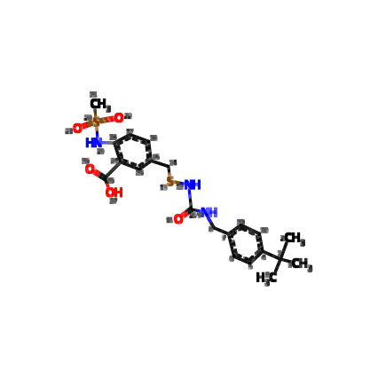 CC(C)(C)c1ccc(CNC(=O)NSCc2ccc(NS(C)(=O)=O)c(C(=O)O)c2)cc1